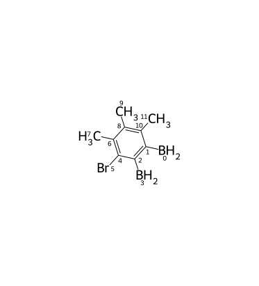 Bc1c(B)c(Br)c(C)c(C)c1C